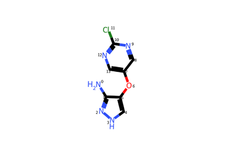 Nc1n[nH]cc1Oc1cnc(Cl)nc1